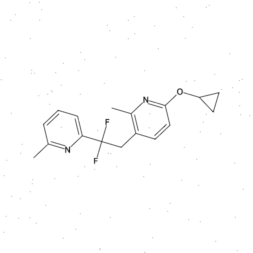 Cc1cccc(C(F)(F)Cc2ccc(OC3CC3)nc2C)n1